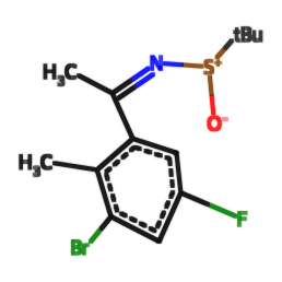 C/C(=N/[S+]([O-])C(C)(C)C)c1cc(F)cc(Br)c1C